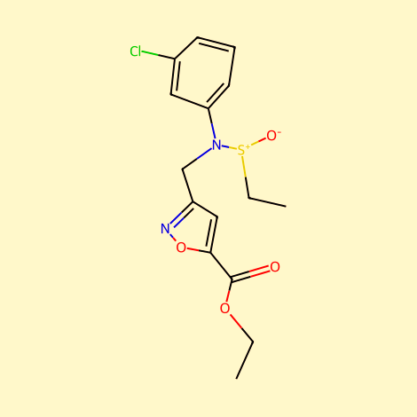 CCOC(=O)c1cc(CN(c2cccc(Cl)c2)[S+]([O-])CC)no1